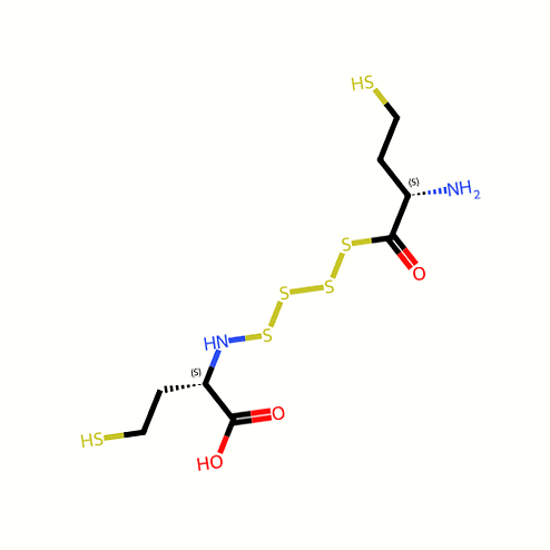 N[C@@H](CCS)C(=O)SSSSN[C@@H](CCS)C(=O)O